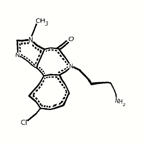 Cn1cnc2c3cc(Cl)ccc3n(CCCN)c(=O)c21